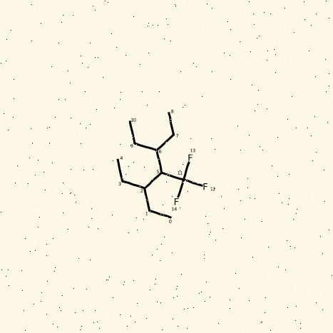 CCC(CC)C(C(CC)CC)C(F)(F)F